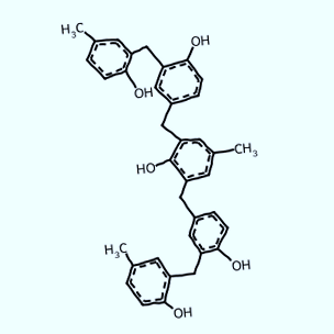 Cc1ccc(O)c(Cc2cc(Cc3cc(C)cc(Cc4ccc(O)c(Cc5cc(C)ccc5O)c4)c3O)ccc2O)c1